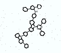 C1=CCCC(c2ccc(-c3ccccc3)cc2Nc2ccc(-c3ccc4c5cc(-c6ccc(-n7c8ccccc8c8ccc(-c9ccccc9)cc87)cc6)ccc5n(-c5nc(-c6ccccc6)nc(-c6ccccc6)n5)c4c3)cc2)=C1